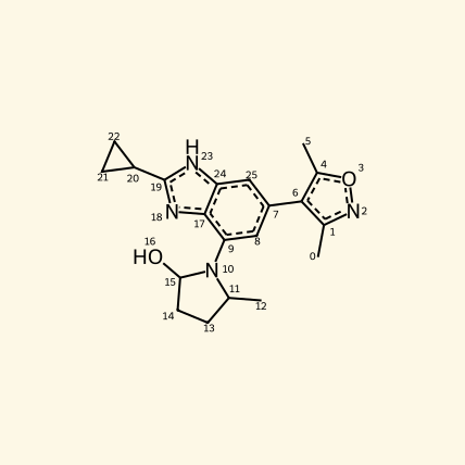 Cc1noc(C)c1-c1cc(N2C(C)CCC2O)c2nc(C3CC3)[nH]c2c1